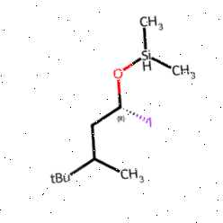 CC(C[C@@H](I)O[SiH](C)C)C(C)(C)C